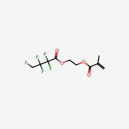 C=C(C)C(=O)OCCOC(=O)C(F)(F)C(F)(F)CF